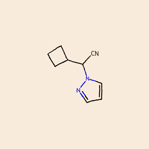 N#CC(C1CCC1)n1cccn1